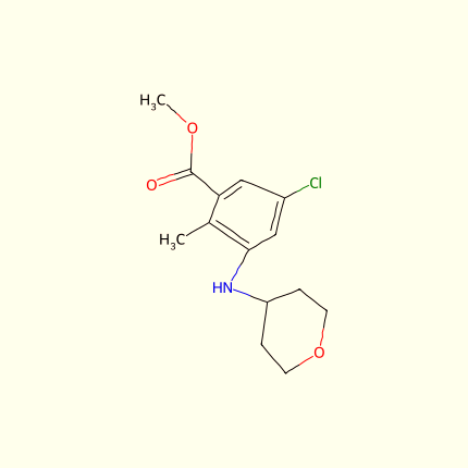 COC(=O)c1cc(Cl)cc(NC2CCOCC2)c1C